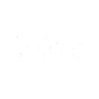 COc1cc([N+](=O)[O-])c(C#N)cc1C(=O)C(=O)Nc1ccc(F)c(Cl)c1